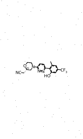 Cc1cc(C(F)(F)F)cc(O)c1-c1ccc(N2CCO[C@@H](CC#N)C2)nn1